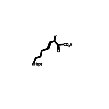 [CH2]C(C=CCCCCCCCCCC)C(=O)C(=O)O